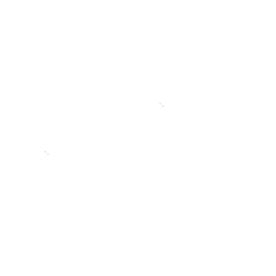 COc1ccc2c(Oc3ccc([N+](=O)[O-])cc3F)cc(C)nc2c1